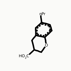 CCCc1ccc2c(c1)CC(C(=O)O)CO2